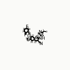 CCc1nnc(NC(=O)/C(C#N)=C\c2ccc(OCc3cc(F)ccc3F)c(OC)c2)s1